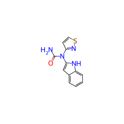 NC(=O)N(c1ccsn1)c1cc2ccccc2[nH]1